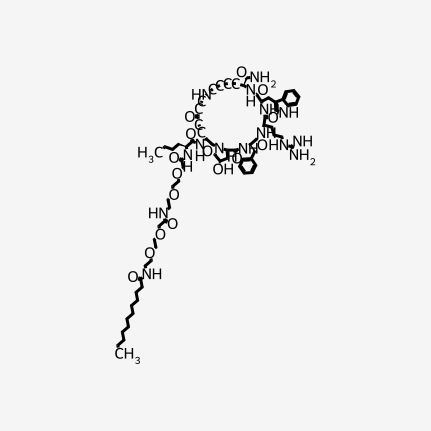 CCCCCCCCCCCC(=O)NCCOCCOCC(=O)NCCOCCOCC(=O)N[C@@H](CCCC)C(=O)N[C@H]1CCC(=O)CCNCCCC[C@@H](C(N)=O)NC(=O)C(Cc2c[nH]c3ccccc23)NC(=O)C(CCCNC(=N)N)NC(=O)[C@@H](Cc2ccccc2)NC(=O)[C@@H]2C[C@@H](O)CN2C1=O